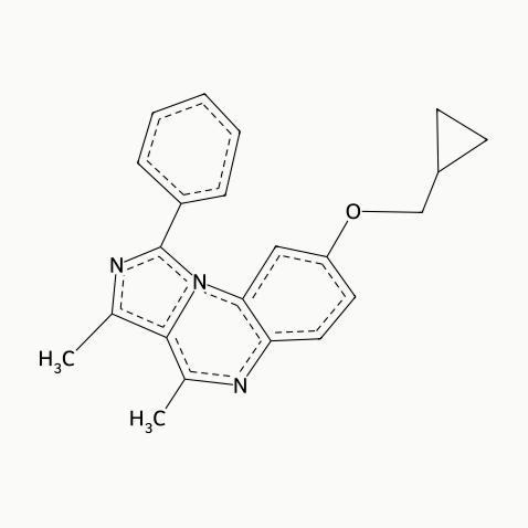 Cc1nc(-c2ccccc2)n2c1c(C)nc1ccc(OCC3CC3)cc12